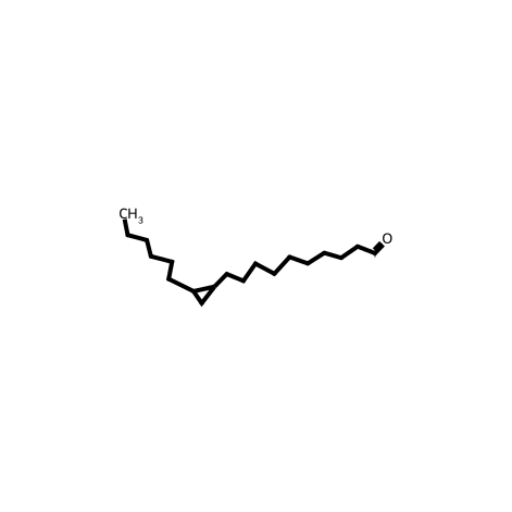 CCCCCCC1CC1CCCCCCCCC[C]=O